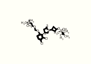 CC(C)(C)[Si](C)(C)OC1CC(N2C[C@@H](c3c(OCOCC[Si](C)(C)C)ccc(Cl)c3Cl)CC2=S)C1